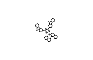 c1ccc2c3c(ccc2c1)N(c1nc(-c2ccc4c(c2)sc2ccccc24)nc(-c2ccc4oc5ccccc5c4c2)n1)c1cccc2cccc-3c12